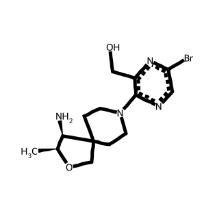 C[C@@H]1OCC2(CCN(c3ncc(Br)nc3CO)CC2)[C@@H]1N